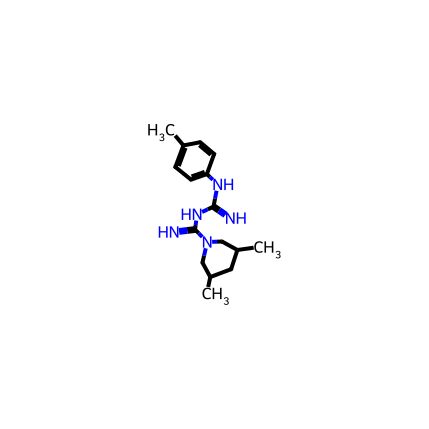 Cc1ccc(NC(=N)NC(=N)N2CC(C)CC(C)C2)cc1